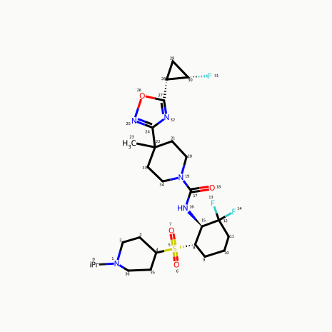 CC(C)N1CCC(S(=O)(=O)[C@H]2CCCC(F)(F)[C@@H]2NC(=O)N2CCC(C)(c3noc([C@@H]4C[C@@H]4F)n3)CC2)CC1